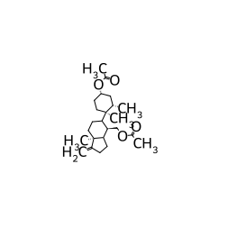 C=C1CCC2[C@H](COC(C)=O)C([C@@]3(C)CC[C@H](OC(C)=O)C[C@@H]3C)CC[C@]12C